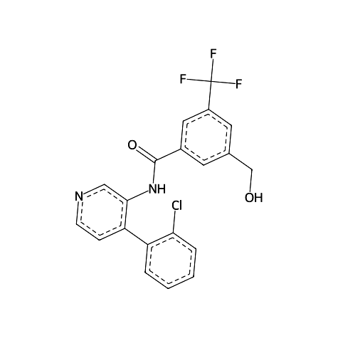 O=C(Nc1cnccc1-c1ccccc1Cl)c1cc(CO)cc(C(F)(F)F)c1